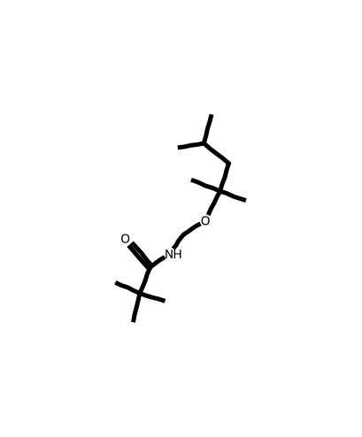 CC(C)CC(C)(C)OCNC(=O)C(C)(C)C